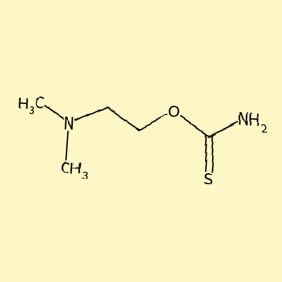 CN(C)CCOC(N)=S